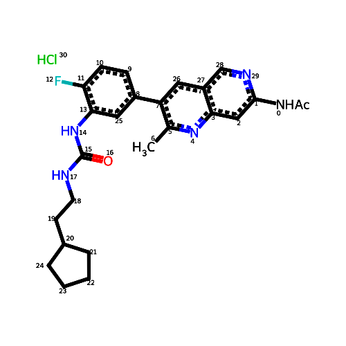 CC(=O)Nc1cc2nc(C)c(-c3ccc(F)c(NC(=O)NCCC4CCCC4)c3)cc2cn1.Cl